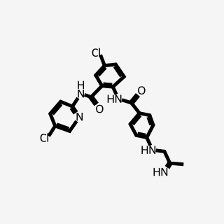 CC(=N)CNc1ccc(C(=O)Nc2ccc(Cl)cc2C(=O)Nc2ccc(Cl)cn2)cc1